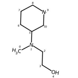 CN(CCO)C1CCC[N]C1